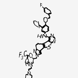 O=C(O[C@H](CNCCN1CCOCC1)Cn1cc2c(n1)CCc1c-2sc2ncnc(Nc3ccc(OCc4cccc(F)c4)c(Cl)c3)c12)C(F)(F)F